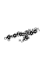 Cc1nc(C(=O)N2Cc3cc4c(cc3C[C@H]2C(=O)NC(Cc2ccc(-c3ccnc(C)c3C)cc2)C(=O)O)OC[C@H](c2ccc(OCc3ccc(Cl)c(Cl)c3)cc2)O4)c(C(F)(F)F)o1